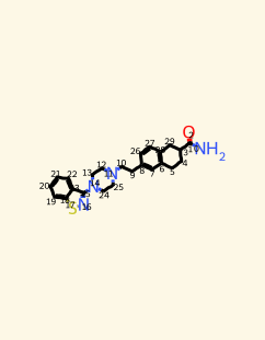 NC(=O)C1CCc2cc(CCN3CCN(c4nsc5ccccc45)CC3)ccc2C1